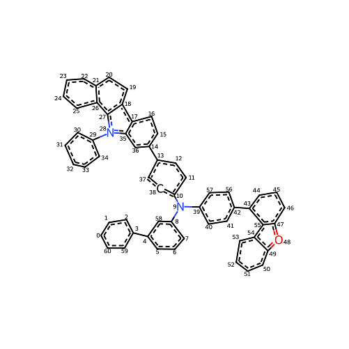 c1ccc(-c2cccc(N(c3ccc(-c4ccc5c6ccc7ccccc7c6n(-c6ccccc6)c5c4)cc3)c3ccc(-c4cccc5oc6ccccc6c45)cc3)c2)cc1